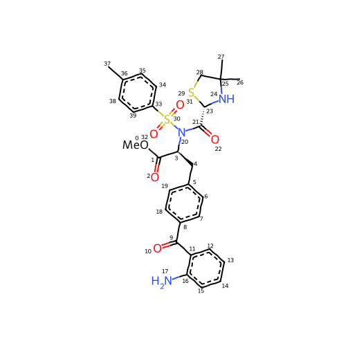 COC(=O)[C@H](Cc1ccc(C(=O)c2ccccc2N)cc1)N(C(=O)[C@H]1NC(C)(C)CS1)S(=O)(=O)c1ccc(C)cc1